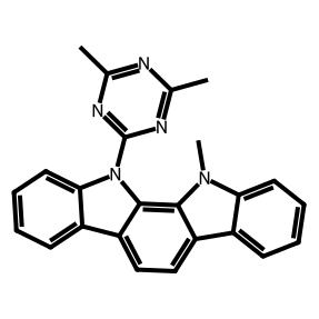 Cc1nc(C)nc(-n2c3ccccc3c3ccc4c5ccccc5n(C)c4c32)n1